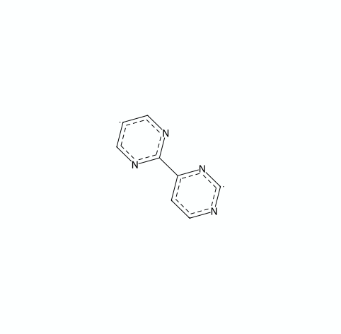 [c]1cnc(-c2ccn[c]n2)nc1